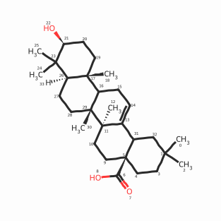 CC1(C)CC[C@]2(C(=O)O)CC[C@]3(C)C(=CCC4[C@@]5(C)CC[C@H](O)C(C)(C)[C@@H]5CC[C@]43C)C2C1